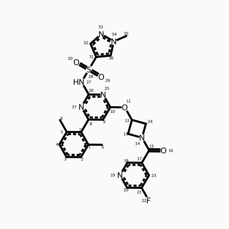 Cc1cccc(C)c1-c1cc(OC2CN(C(=O)c3cncc(F)c3)C2)nc(NS(=O)(=O)c2cnn(C)c2)n1